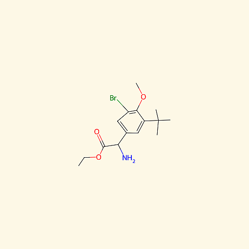 CCOC(=O)C(N)c1cc(Br)c(OC)c(C(C)(C)C)c1